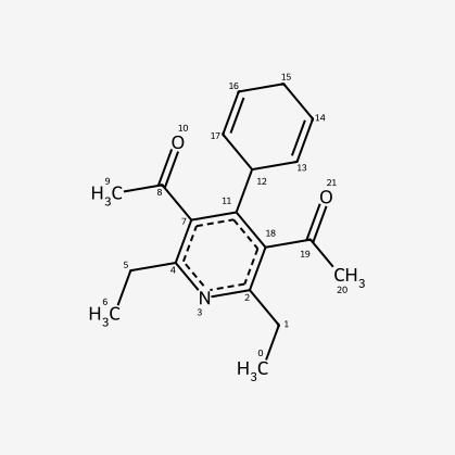 CCc1nc(CC)c(C(C)=O)c(C2C=CCC=C2)c1C(C)=O